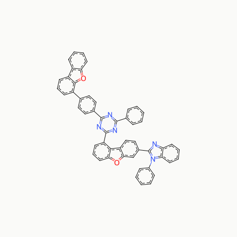 c1ccc(-c2nc(-c3ccc(-c4cccc5c4oc4ccccc45)cc3)nc(-c3cccc4oc5cc(-c6nc7ccccc7n6-c6ccccc6)ccc5c34)n2)cc1